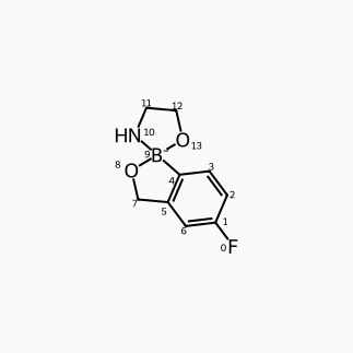 Fc1ccc2c(c1)CO[B-]21NCCO1